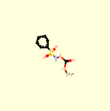 O=C(O)OC(=O)ONS(=O)(=O)c1ccccc1